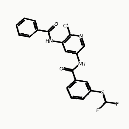 O=C(Nc1cnc(Cl)c(NC(=O)c2ccccc2)c1)c1cccc(SC(F)F)c1